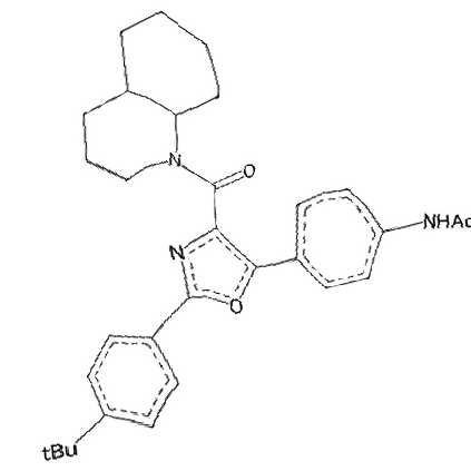 CC(=O)Nc1ccc(-c2oc(-c3ccc(C(C)(C)C)cc3)nc2C(=O)N2CCCC3CCCCC32)cc1